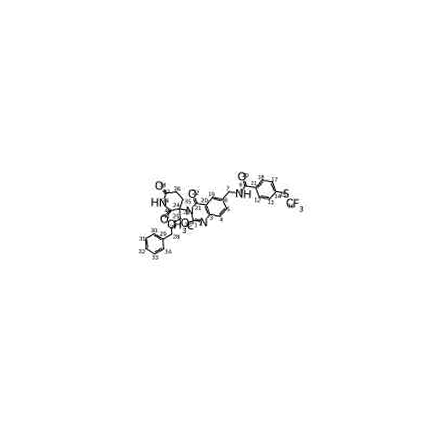 Cc1nc2ccc(CNC(=O)c3ccc(SC(F)(F)F)cc3)cc2c(=O)n1C1(C(=O)OCc2ccccc2)CCC(=O)NC1=O